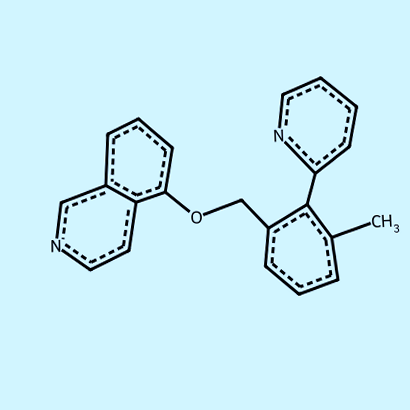 Cc1cccc(COc2cccc3cnccc23)c1-c1ccccn1